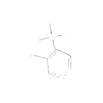 C[Si](C)(C)c1ccncc1F